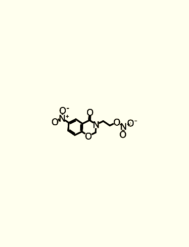 O=C1c2cc([N+](=O)[O-])ccc2OCN1CCO[N+](=O)[O-]